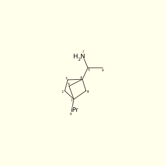 CC(C)C12CCC(C(C)N)(C1)C2